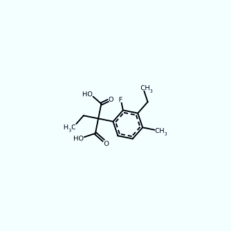 CCc1c(C)ccc(C(CC)(C(=O)O)C(=O)O)c1F